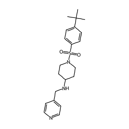 CC(C)(C)c1ccc(S(=O)(=O)N2CCC(NCc3ccncc3)CC2)cc1